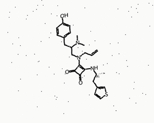 C=CCN(CC(Cc1ccc(O)cc1)N(C)C)c1c(N[C@H](C)Cc2ccsc2)c(=O)c1=O